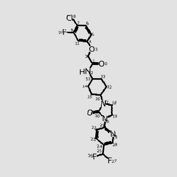 O=C(COc1ccc(Cl)c(F)c1)NC1CCC(N2CCN(c3ccc(C(F)F)cn3)C2=O)CC1